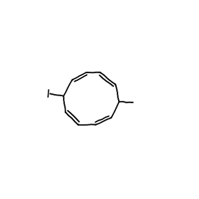 CC1/C=C\C=C/C(I)/C=C\C=C/1